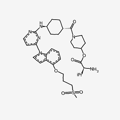 CC(C)[C@H](N)C(=O)OC1CCN(C(=O)[C@H]2CC[C@H](Nc3nccc(-n4ccc5c(OCCCS(C)(=O)=O)cccc54)n3)CC2)CC1